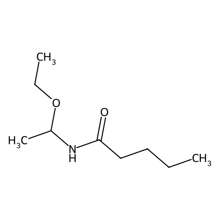 CCCCC(=O)NC(C)OCC